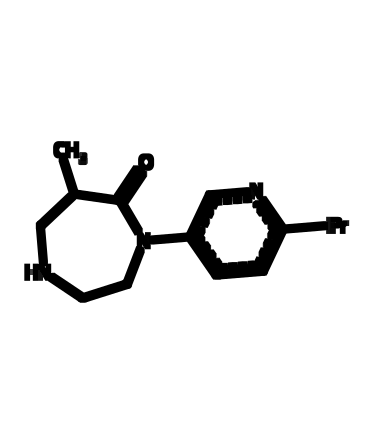 CC1CNCCN(c2ccc(C(C)C)nc2)C1=O